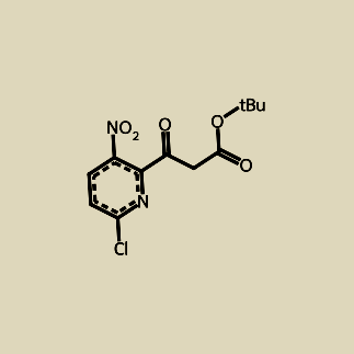 CC(C)(C)OC(=O)CC(=O)c1nc(Cl)ccc1[N+](=O)[O-]